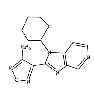 Nc1nonc1-c1nc2cnccc2n1C1CCCCC1